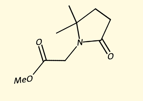 COC(=O)CN1C(=O)CCC1(C)C